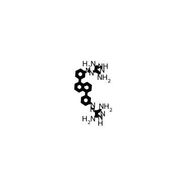 Nc1n[nH]c(N)c1N=Nc1cccc(-c2cccc3c(-c4cccc(N=Nc5c(N)n[nH]c5N)c4)cccc23)c1